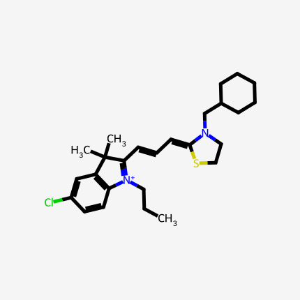 CCC[N+]1=C(/C=C/C=C2\SCCN2CC2CCCCC2)C(C)(C)c2cc(Cl)ccc21